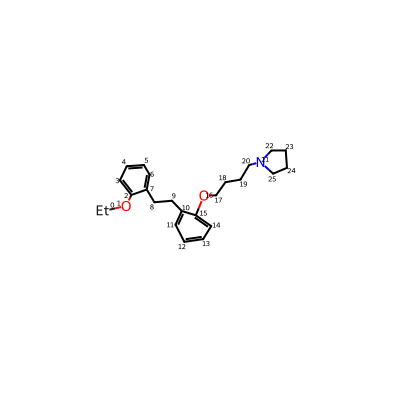 CCOc1ccccc1CCc1ccccc1OCCCCN1CCCC1